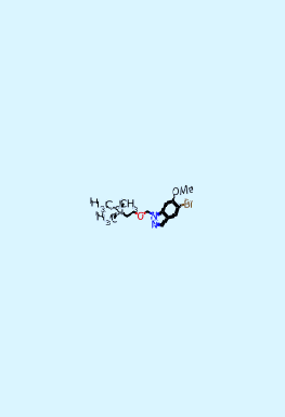 COc1cc2c(cnn2COCC[Si](C)(C)C)cc1Br